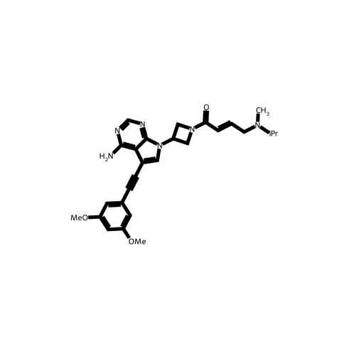 COc1cc(C#Cc2cn(C3CN(C(=O)/C=C/CN(C)C(C)C)C3)c3ncnc(N)c23)cc(OC)c1